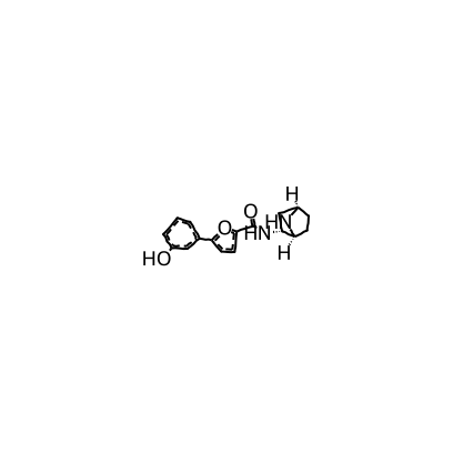 O=C(N[C@@H]1C[C@H]2CC[C@@H]1N2)c1ccc(-c2cccc(O)c2)o1